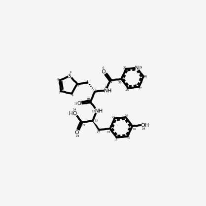 O=C(N[C@@H](CC1CC=CS1)C(=O)N[C@@H](Cc1ccc(O)cc1)C(=O)O)c1cccnc1